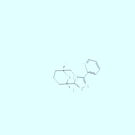 c1ccc(-c2nnc3n2C[C@H]2CCC[C@@H]3N2)nc1